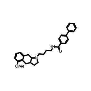 COc1cccc2c1CC1CCN(CCCCNC(=O)c3ccc(-c4ccccc4)cc3)C1C2